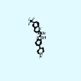 Cl.FC(F)(F)c1ccc2nc(Nc3nc4ccc(C5CCNCC5)cc4[nH]3)ccc2c1